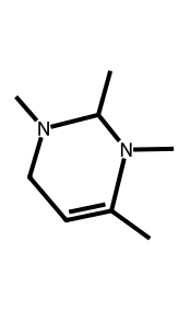 CC1=CCN(C)C(C)N1C